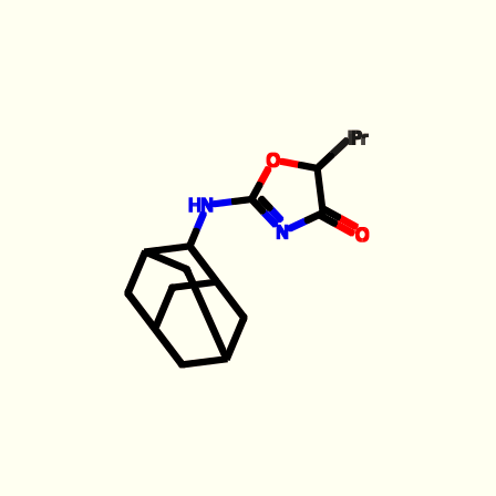 CC(C)C1OC(NC2C3CC4CC(C3)CC2C4)=NC1=O